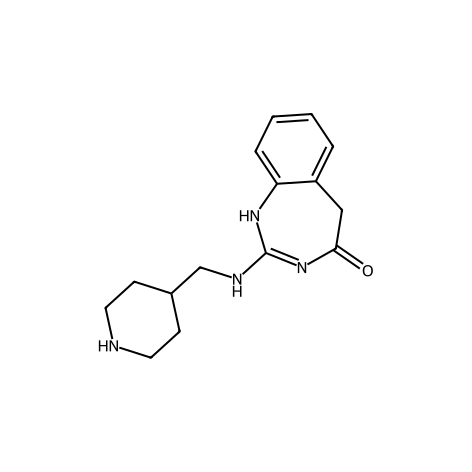 O=C1Cc2ccccc2NC(NCC2CCNCC2)=N1